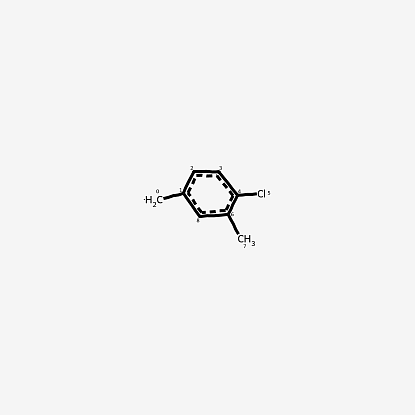 [CH2]c1ccc(Cl)c(C)c1